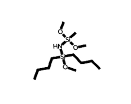 CCCC[Si](CCCC)(N[Si](C)(OC)OC)OC